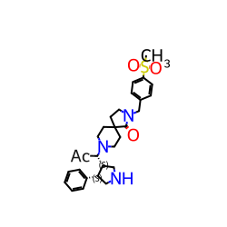 CC(=O)C([C@@H]1CNC[C@@H]1c1ccccc1)N1CCC2(CCN(Cc3ccc(S(C)(=O)=O)cc3)C2=O)CC1